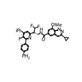 COc1cc(C(=O)NC[C@H](c2cc(C(C)C)c(I)c(-c3ccc(P)cc3)n2)C(F)F)cc2cc(C3CC3)nnc12